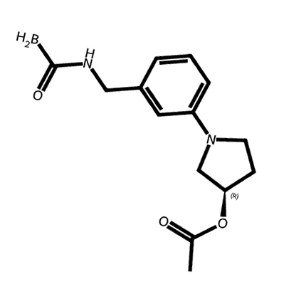 BC(=O)NCc1cccc(N2CC[C@@H](OC(C)=O)C2)c1